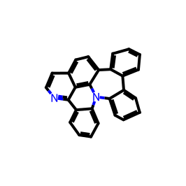 c1ccc2c(c1)c1ccc3ccnc4c5ccccc5n(c5ccccc25)-c1c34